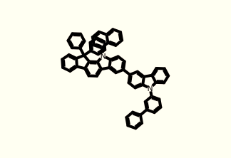 c1ccc(-c2cccc(-n3c4ccccc4c4cc(-c5ccc6c(c5)c5ccc7c(c5n6-c5cccc6ccccc56)C(c5ccccc5)(c5ccccc5)c5ccccc5-7)ccc43)c2)cc1